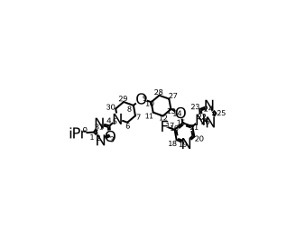 CC(C)c1noc(N2CCC(OC3CCC(Oc4c(F)cncc4-n4cncn4)CC3)CC2)n1